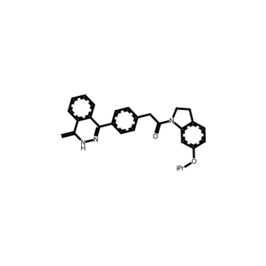 C=C1NN=C(c2ccc(CC(=O)N3CCc4ccc(OC(C)C)cc43)cc2)c2ccccc21